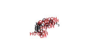 C[C@H](CC[C@@]1(O)O[C@H]2C[C@H]3[C@@H]4CC=C5C[C@@H](O)C[C@@H](O[C@@H]6OC[C@@H](O)[C@H](O)[C@H]6O)[C@]5(C)[C@H]4CC[C@]3(C)[C@H]2[C@@H]1C)CO[C@@H]1O[C@H](CO)[C@@H](O)[C@H](O)[C@H]1O[C@@H]1O[C@@H](C)[C@H](O)[C@@H](O)[C@H]1O